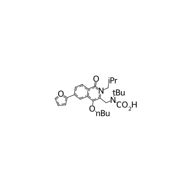 CCCCOc1c(CN(C(=O)O)C(C)(C)C)n(CC(C)C)c(=O)c2ccc(-c3ccco3)cc12